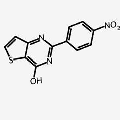 O=[N+]([O-])c1ccc(-c2nc(O)c3sccc3n2)cc1